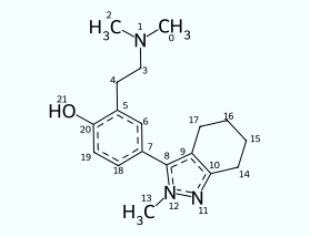 CN(C)CCc1cc(-c2c3c(nn2C)CCCC3)ccc1O